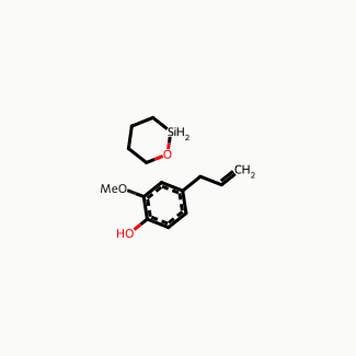 C1CC[SiH2]OC1.C=CCc1ccc(O)c(OC)c1